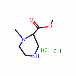 COC(=O)C1CNCCN1C.Cl.Cl